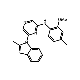 COc1cc(C)ccc1Nc1cncc(-n2c(C)nc3ccccc32)n1